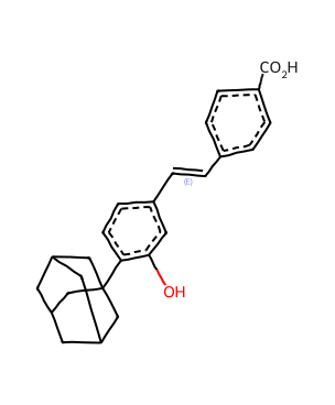 O=C(O)c1ccc(/C=C/c2ccc(C34CC5CC(CC(C5)C3)C4)c(O)c2)cc1